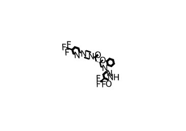 O=C(C[C@H]1CN(c2cc(C(F)(F)F)c(=O)[nH]n2)c2ccccc2O1)N1CCN(c2ccc(C(F)(F)F)cn2)CC1